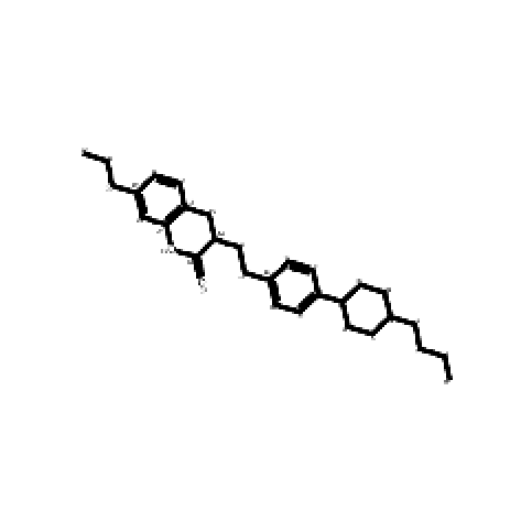 CCCCC1CCC(c2ccc(CCC3Cc4ccc(CCC)cc4OC3=O)cc2)CC1